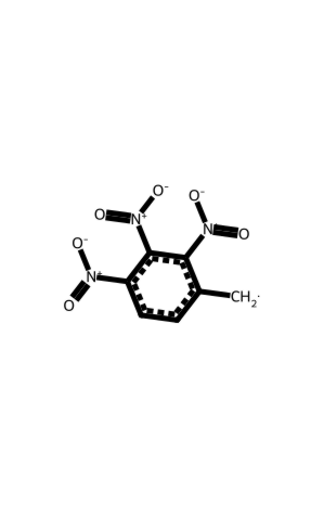 [CH2]c1ccc([N+](=O)[O-])c([N+](=O)[O-])c1[N+](=O)[O-]